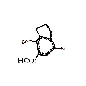 O=C(O)c1cc(Br)c2c(c1Br)CCC2